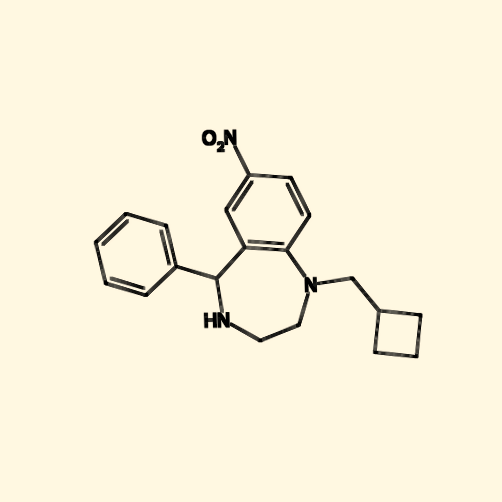 O=[N+]([O-])c1ccc2c(c1)C(c1ccccc1)NCCN2CC1CCC1